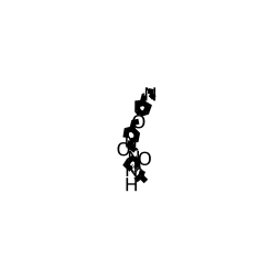 CC(C)C[C@@H]1NCCN(CC(=O)N2CCC(COc3ccc(CN(C)C)cc3)CC2)C1=O